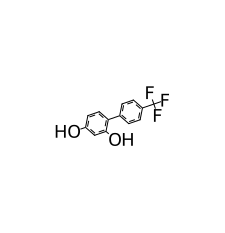 Oc1ccc(-c2ccc(C(F)(F)F)cc2)c(O)c1